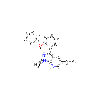 CC(=O)Nc1cnc2c(c1)c(-c1ccccc1Oc1ccccc1)nn2C